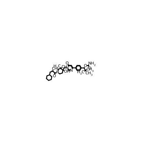 C[C@H](CC1CCCCC1)C(=O)N1CCC(O)(Cn2cnc(-c3ccc(C(OC(N)=O)C(C)(C)C)cc3)cc2=O)C(C)(C)C1